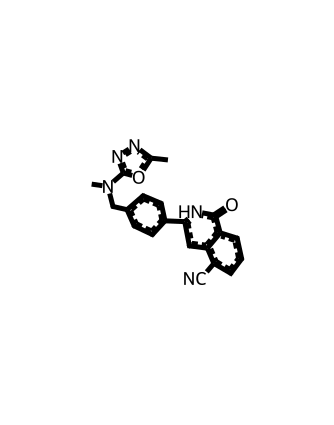 Cc1nnc(N(C)Cc2ccc(-c3cc4c(C#N)cccc4c(=O)[nH]3)cc2)o1